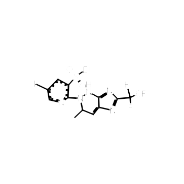 CCS(=O)(=O)c1cc(I)cnc1N1NC2=NC(C(F)(F)C(F)(F)F)=NC2=CC1C